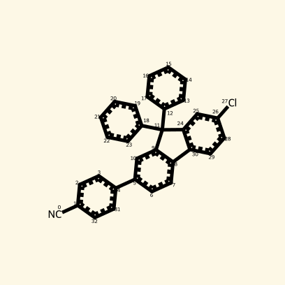 N#Cc1ccc(-c2ccc3c(c2)C(c2ccccc2)(c2ccccc2)c2cc(Cl)ccc2-3)cc1